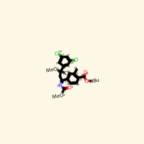 COC(=O)/N=C(/CC(OC)(c1cc(Cl)cc(Cl)c1)C(F)(F)F)c1ccc(C(=O)OC(C)(C)C)c(C)c1